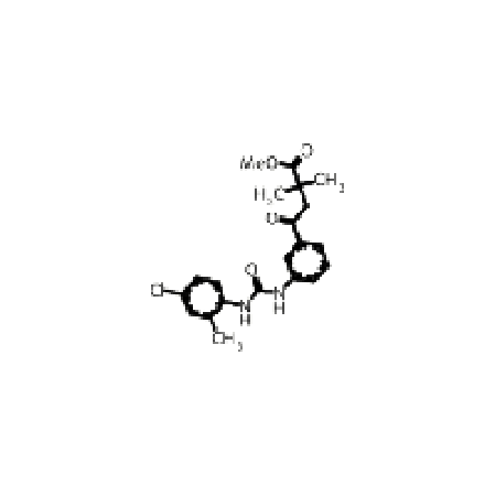 COC(=O)C(C)(C)CC(=O)c1cccc(NC(=O)Nc2ccc(Cl)cc2C)c1